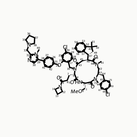 COC[C@@H]1NC(=O)[C@H](CCC(=O)N2CCC2)N(Cc2ccc(Cl)cc2Oc2ccc(-c3cnc(CN4CCCC4)n3C)cc2)C(=O)C[C@@H]([C@H]2CC(C)(C)c3ccccc32)C(=O)N(C)C[C@@H](Cc2ccc(Cl)cc2)N(C)C1=O